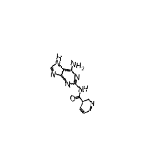 Nc1nc(NC(=O)C2C=CC=NC2)nc2nc[nH]c12